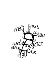 CCCCCCCCCCC(CCCC)(CCCC)C(CCCC)(CCCC)c1cc(CCCC)c(CCCC)c(CCCC)c1CCCCCCCC